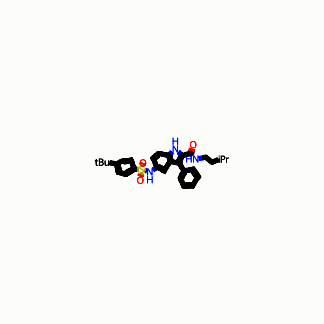 CC(C)CCNC(=O)c1[nH]c2ccc(NS(=O)(=O)c3ccc(C(C)(C)C)cc3)cc2c1-c1ccccc1